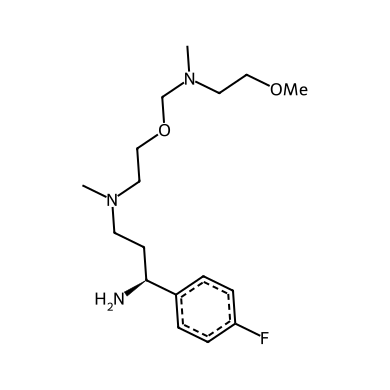 COCCN(C)COCCN(C)CC[C@H](N)c1ccc(F)cc1